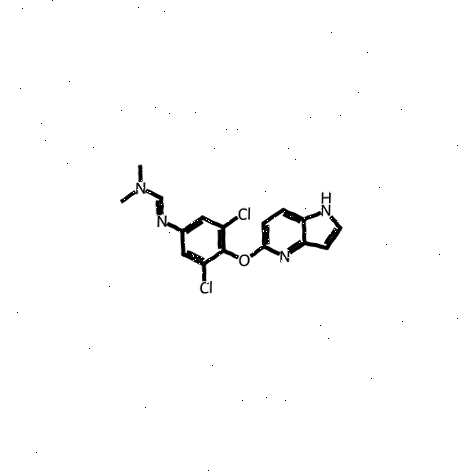 CN(C)C=Nc1cc(Cl)c(Oc2ccc3[nH]ccc3n2)c(Cl)c1